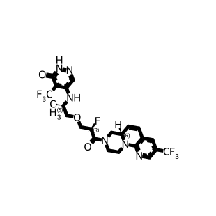 C[C@@H](COC[C@@H](F)C(=O)N1CCN2c3ncc(C(F)(F)F)cc3C=C[C@@H]2C1)Nc1cn[nH]c(=O)c1C(F)(F)F